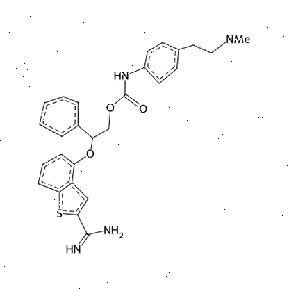 CNCCc1ccc(NC(=O)OCC(Oc2cccc3sc(C(=N)N)cc23)c2ccccc2)cc1